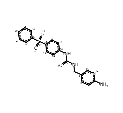 Nc1ccc(CNC(=O)Nc2ccc(S(=O)(=O)c3ccccc3)cc2)cn1